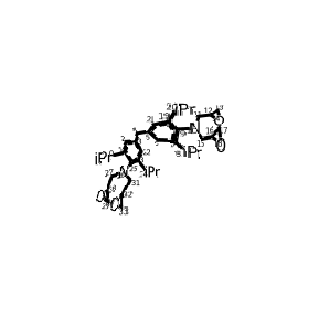 CC(C)c1cc(Cc2cc(C(C)C)c(N(CC3CO3)CC3CO3)c(C(C)C)c2)cc(C(C)C)c1N(CC1CO1)CC1CO1